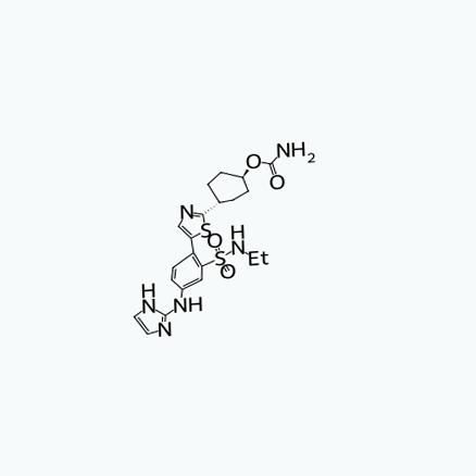 CCNS(=O)(=O)c1cc(Nc2ncc[nH]2)ccc1-c1cnc([C@H]2CC[C@H](OC(N)=O)CC2)s1